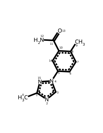 Cc1ncn(-c2ccc(C)c(C(N)=O)c2)n1